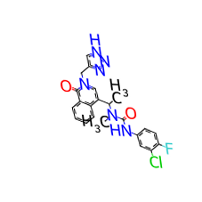 CC(c1cn(Cc2c[nH]nn2)c(=O)c2ccccc12)N(C)C(=O)Nc1ccc(F)c(Cl)c1